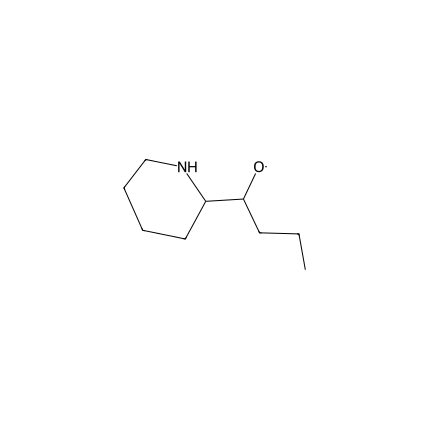 CCCC([O])C1CCCCN1